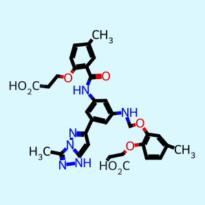 Cc1ccc(OCCC(=O)O)c(OCNc2cc(NC(=O)c3cc(C)ccc3OCCC(=O)O)cc(-c3cc4[nH]nc(C)n4n3)c2)c1